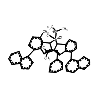 Cc1ccc(-c2cccc3ccccc23)c2c1[CH]([Zr]([Cl])([Cl])([CH]1C(C(C)C)=Cc3c(-c4cccc5ccccc45)cccc31)[SiH](C)C)C(Cc1ccccc1)=C2